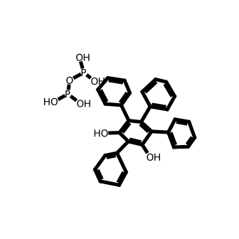 OP(O)OP(O)O.Oc1c(-c2ccccc2)c(O)c(-c2ccccc2)c(-c2ccccc2)c1-c1ccccc1